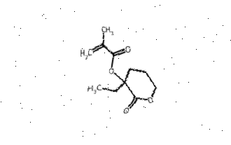 C=C(C)C(=O)OC1(CC)CCCOC1=O